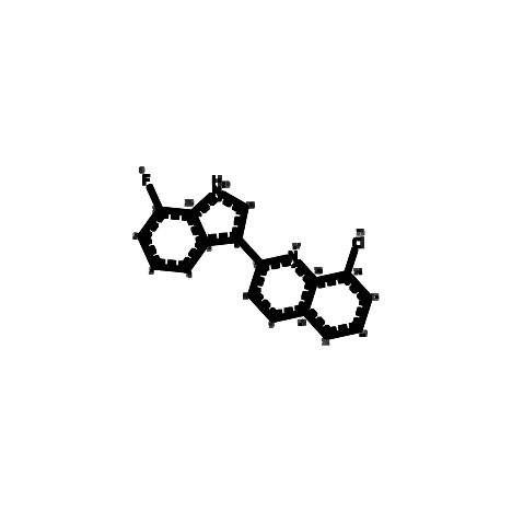 Fc1cccc2c(-c3ccc4cccc(Cl)c4n3)c[nH]c12